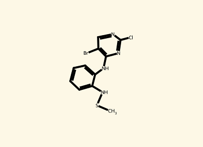 CSNc1ccccc1Nc1nc(Cl)ncc1Br